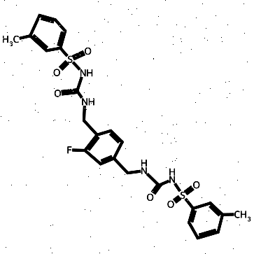 Cc1cccc(S(=O)(=O)NC(=O)NCc2ccc(CNC(=O)NS(=O)(=O)c3cccc(C)c3)c(F)c2)c1